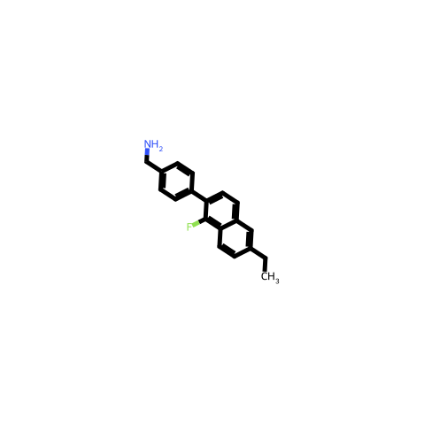 CCc1ccc2c(F)c(-c3ccc(CN)cc3)ccc2c1